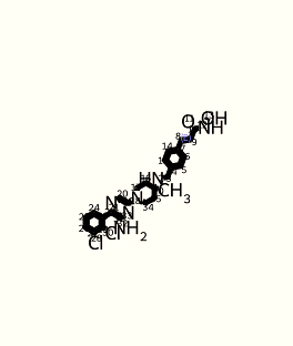 CC1(NCc2ccc(/C=C/C(=O)NO)cc2)CCN(c2cnc(-c3cccc(Cl)c3Cl)c(N)n2)CC1